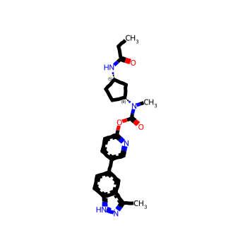 CCC(=O)N[C@H]1CC[C@@H](N(C)C(=O)Oc2ccc(-c3ccc4[nH]nc(C)c4c3)cn2)C1